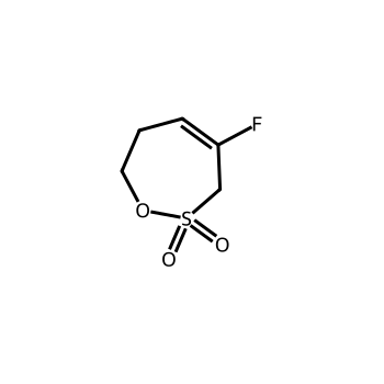 O=S1(=O)CC(F)=CCCO1